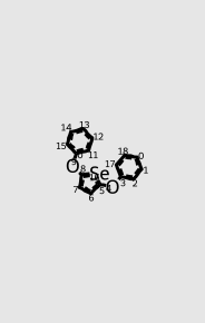 c1ccc(Oc2ccc(Oc3ccccc3)[se]2)cc1